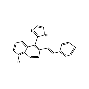 CCc1cccc2c(-c3ncc[nH]3)c(C=Cc3ccccc3)ccc12